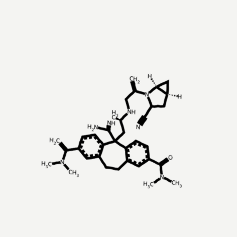 C=C(c1ccc2c(c1)CCc1cc(C(=O)N(C)C)ccc1C2(C[C@@H](C)NCC(=C)N1C(C#N)C[C@@H]2C[C@@H]21)C(=N)N)N(C)C